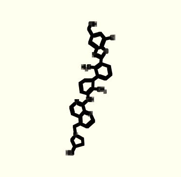 Cc1c(Nc2nccc3c(CN4CCC(O)C4)ccnc23)cccc1-c1cccc(-c2nc3cc(CO)cc(Cl)c3o2)c1C